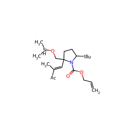 C=CCOC(=O)N1C(C(C)(C)C)CCC1(C=C(C)C(C)=O)CO[SiH](C)C